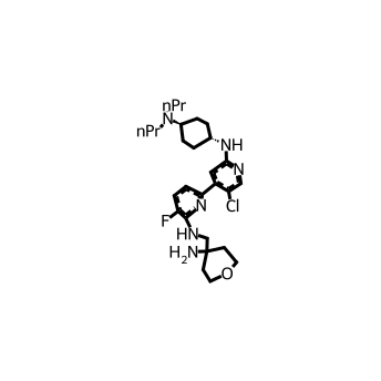 CCCN(CCC)[C@H]1CC[C@H](Nc2cc(-c3ccc(F)c(NCC4(N)CCOCC4)n3)c(Cl)cn2)CC1